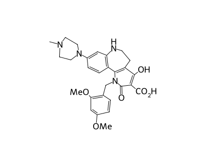 COc1ccc(Cn2c3c(c(O)c(C(=O)O)c2=O)CCNc2cc(N4CCN(C)CC4)ccc2-3)c(OC)c1